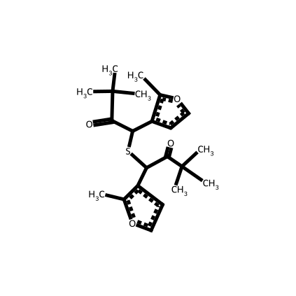 Cc1occc1C(SC(C(=O)C(C)(C)C)c1ccoc1C)C(=O)C(C)(C)C